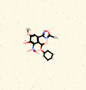 COc1cc(-c2noc(C)n2)c(C(=O)OC2CCCCC2)c([N+](=O)[O-])c1O